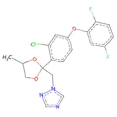 CC1COC(Cn2cncn2)(c2ccc(Oc3cc(F)ccc3F)cc2Cl)O1